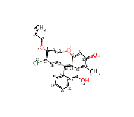 C=CCOc1cc2oc3cc(=O)c(C)cc-3c(-c3ccccc3CO)c2cc1Cl